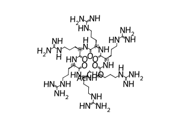 CC(=O)N[C@H](CCCNC(=N)N)C(=O)N[C@H](CCCNC(=N)N)C(=O)N[C@H](CCCNC(=N)N)C(=O)N[C@H](CCCNC(=N)N)C(=O)N[C@H](CCCNC(=N)N)C(=O)N[C@@H]([C]=O)CCCNC(=N)N